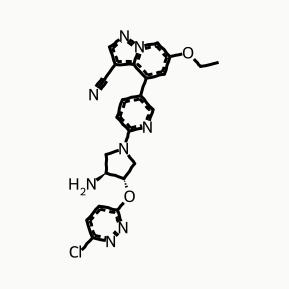 CCOc1cc(-c2ccc(N3C[C@H](Oc4ccc(Cl)nn4)[C@@H](N)C3)nc2)c2c(C#N)cnn2c1